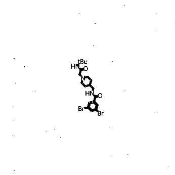 CC(C)(C)NC(=O)CN1CCC(CNC(=O)c2cc(Br)cc(Br)c2)CC1